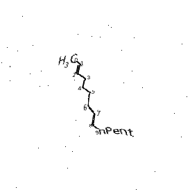 CC=CCCCCC=CCCCCC